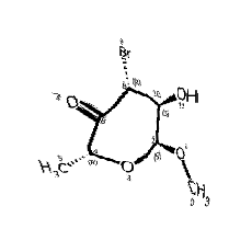 CO[C@H]1O[C@H](C)C(=O)[C@H](Br)[C@H]1O